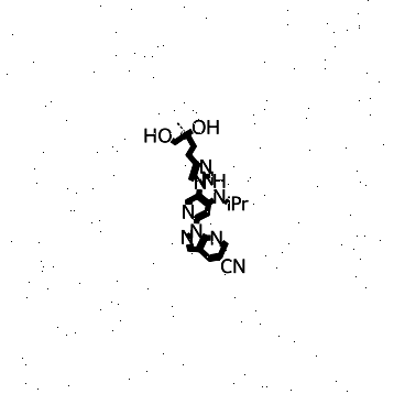 CC(C)Nc1cc(-n2ncc3cc(C#N)cnc32)ncc1-n1cc(CC[C@](C)(O)CO)nn1